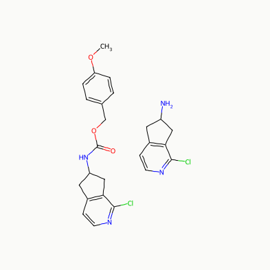 COc1ccc(COC(=O)NC2Cc3ccnc(Cl)c3C2)cc1.NC1Cc2ccnc(Cl)c2C1